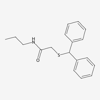 CCCNC(=O)CSC(c1ccccc1)c1ccccc1